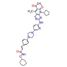 CC(=O)c1c(C)c2cnc(Nc3ccc(N4CCN(c5ccc(/C=C/C(=O)NOC6CCCCC6)cc5)CC4)cn3)nc2n(C2CCCC2)c1=O